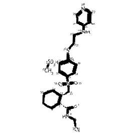 CS(=O)(=O)O.N#CCNC(=O)[C@@H]1CCCC[C@H]1CS(=O)(=O)c1ccc(SCCNc2ccncc2)cc1